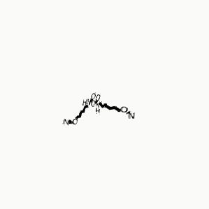 N#COCCCCCCNC(=O)OC(=O)NCCCCCCOC#N